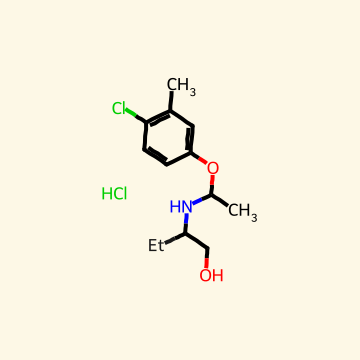 CCC(CO)NC(C)Oc1ccc(Cl)c(C)c1.Cl